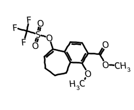 COC(=O)c1ccc2c(c1OC)CCCC=C2OS(=O)(=O)C(F)(F)F